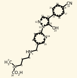 CN(CCCNCc1ccc(-n2ncc(-c3ccc(C#N)cc3)c2O)nc1)C(=O)O